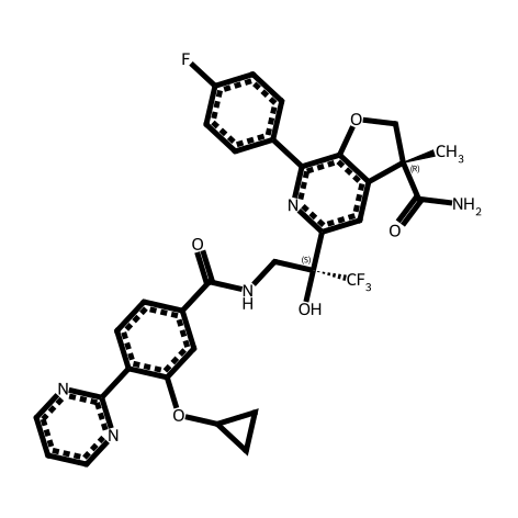 C[C@]1(C(N)=O)COc2c1cc([C@@](O)(CNC(=O)c1ccc(-c3ncccn3)c(OC3CC3)c1)C(F)(F)F)nc2-c1ccc(F)cc1